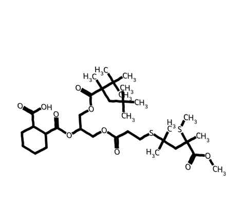 COC(=O)C(C)(CC(C)(C)SCCC(=O)OCC(COC(=O)C(C)(CC(C)(C)C)C(C)(C)C)OC(=O)C1CCCCC1C(=O)O)SC